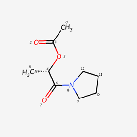 CC(=O)O[C@@H](C)C(=O)N1CCCC1